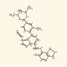 Cc1nc(N2CC(C)NC(C)C2)ncc1-c1cnc(NCc2c(F)ccc3c2CCO3)n2cnc(C#N)c12